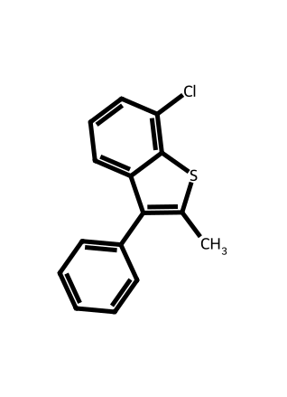 Cc1sc2c(Cl)cccc2c1-c1ccccc1